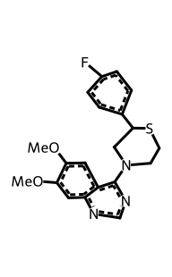 COc1cc2ncnc(N3CCSC(c4ccc(F)cc4)C3)c2cc1OC